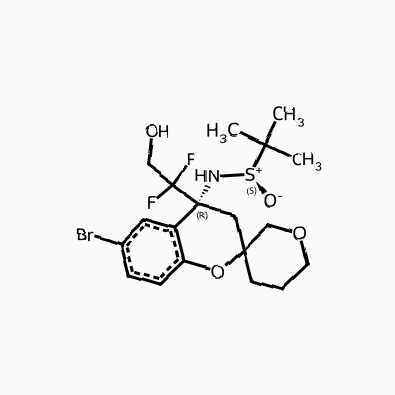 CC(C)(C)[S@@+]([O-])N[C@]1(C(F)(F)CO)CC2(CCCOC2)Oc2ccc(Br)cc21